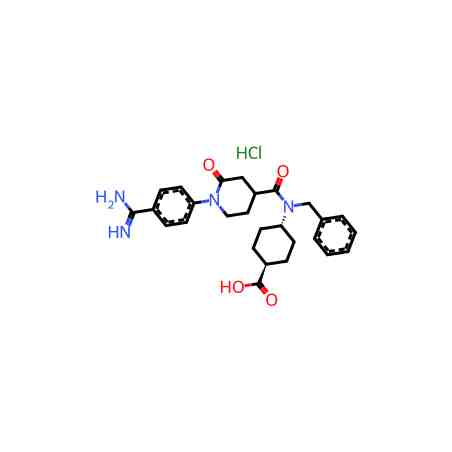 Cl.N=C(N)c1ccc(N2CCC(C(=O)N(Cc3ccccc3)[C@H]3CC[C@H](C(=O)O)CC3)CC2=O)cc1